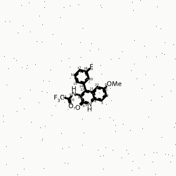 COc1ccc2[nH]c(=O)c(NC(=O)C(F)(F)F)c(-c3cccc(F)c3)c2c1